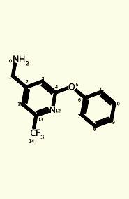 NCc1cc(Oc2c[c]ccc2)nc(C(F)(F)F)c1